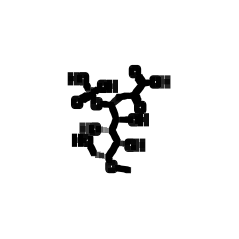 CO[C@H](CO)[C@@H](O)[C@H](O)[C@H](O)[C@H](CC(=O)C(=O)O)OP(=O)(O)O